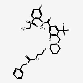 CCS(=O)(=O)c1ccc(Cl)cc1N(C)C(=O)c1cc(Cl)c(CN2CCC[C@H](OCCNC(=O)OCc3ccccc3)C2)c(C(F)(F)F)c1